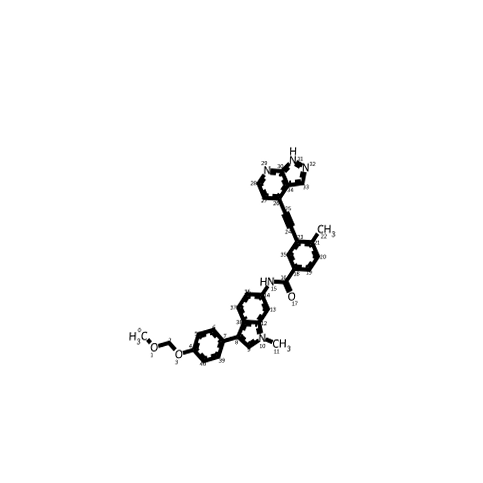 COCOc1ccc(-c2cn(C)c3cc(NC(=O)c4ccc(C)c(C#Cc5ccnc6[nH]ncc56)c4)ccc23)cc1